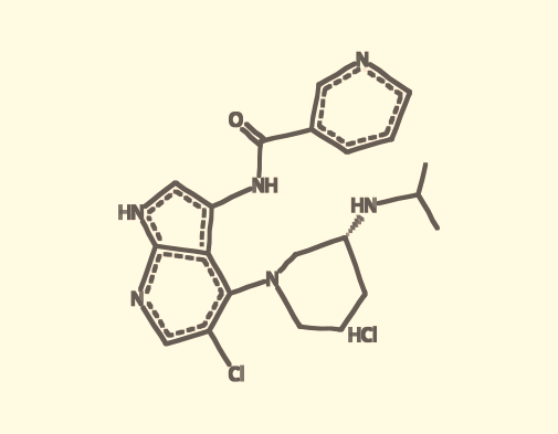 CC(C)N[C@@H]1CCCN(c2c(Cl)cnc3[nH]cc(NC(=O)c4cccnc4)c23)C1.Cl